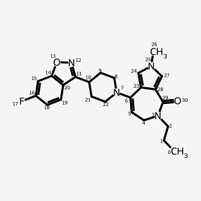 CCCN1CC=C(N2CCC(c3noc4cc(F)ccc34)CC2)c2cn(C)cc2C1=O